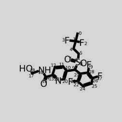 CC(F)(F)CCS(=O)(=O)C(c1ccc(C(=O)NCO)nc1)c1c(F)ccc(F)c1F